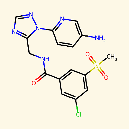 CS(=O)(=O)c1cc(Cl)cc(C(=O)NCc2ncnn2-c2ccc(N)cn2)c1